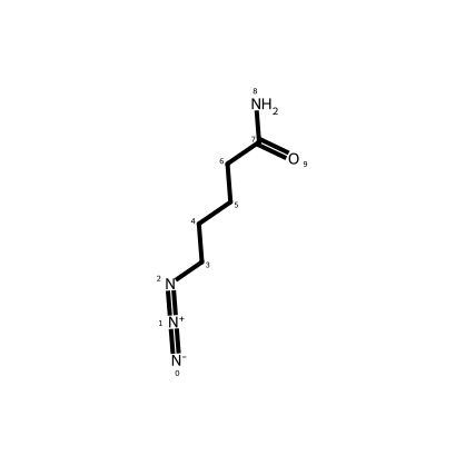 [N-]=[N+]=NCCCCC(N)=O